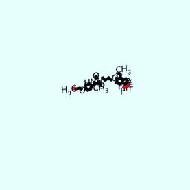 CCCOc1ccc(C2(C)NC(=O)N(CCCCOc3ccc4c(c3CCC)COC4(C(F)(F)F)C(F)(F)F)C2=O)cc1